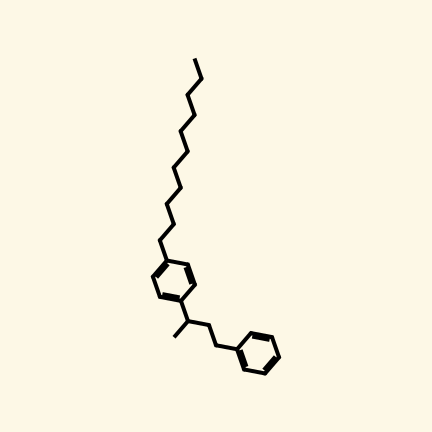 CCCCCCCCCCCc1ccc(C(C)CCc2ccccc2)cc1